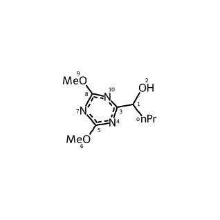 CCCC(O)c1nc(OC)nc(OC)n1